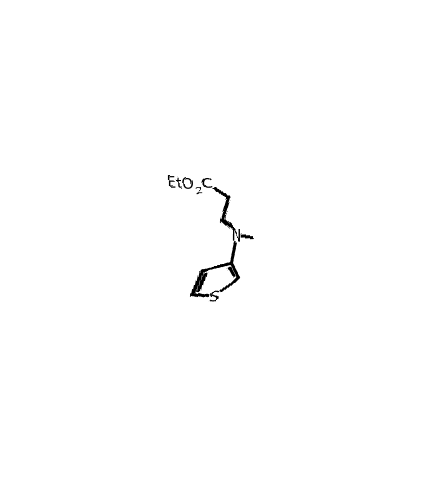 CCOC(=O)CCN(C)c1ccsc1